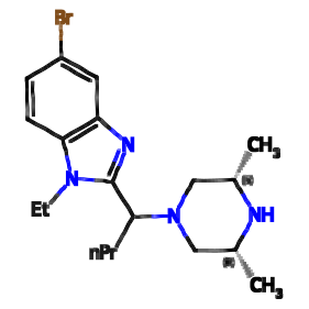 CCCC(c1nc2cc(Br)ccc2n1CC)N1C[C@@H](C)N[C@@H](C)C1